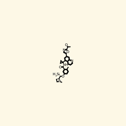 CC(=O)c1ncc(-c2cc(C3(NC(=O)c4cc(O[C@@H]([SiH3])[C@@H]5CCN5C)ccc4C)CC3)c3cccnc3c2)o1